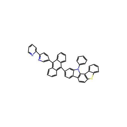 c1ccc(-n2c3cc(-c4c5ccccc5c(-c5ccc(-c6ccccn6)nc5)c5ccccc45)ccc3c3ccc4sc5ccccc5c4c32)cc1